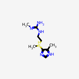 CN=C(N)NCC[SH](C)c1nc[nH]c1C